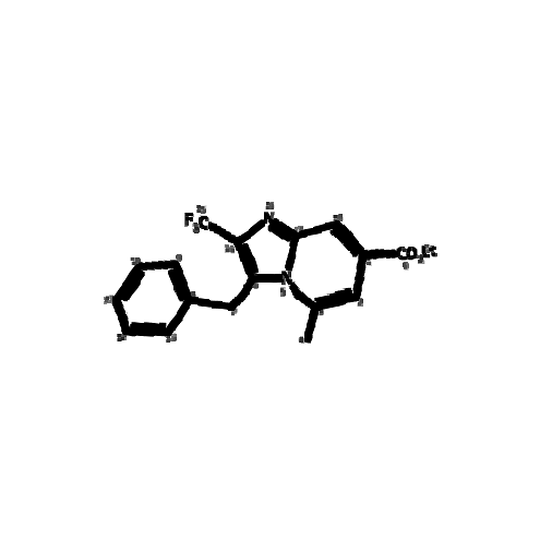 CCOC(=O)c1cc(C)n2c(Cc3ccccc3)c(C(F)(F)F)nc2c1